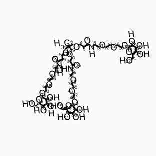 CC(COCCC(=O)NCCOCCOCCO[C@H]1OC(CO)C(O)=C(O)C1O)(COCCC(=O)NCCOCCOCCO[C@H]1OC(CO)[C@@H](O)C(O)C1O)COCCC(=O)NCCOCCOCCO[C@H]1O[C@H](CO)[C@@H](O)C(O)C1O